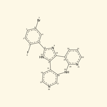 Fc1ccc(Br)cc1-c1nc2c([nH]1)-c1ccncc1Nc1ncccc1-2